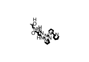 C[C@@H](O)CNC(=O)c1cc(Nc2nc(N3CCCC3c3ccccn3)nc3cccn23)n[nH]1